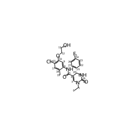 CCN1C=C(C(=O)Nc2cc(OCCO)c(Cl)cc2C)[C@H](c2ccc(F)cc2)NC1=O